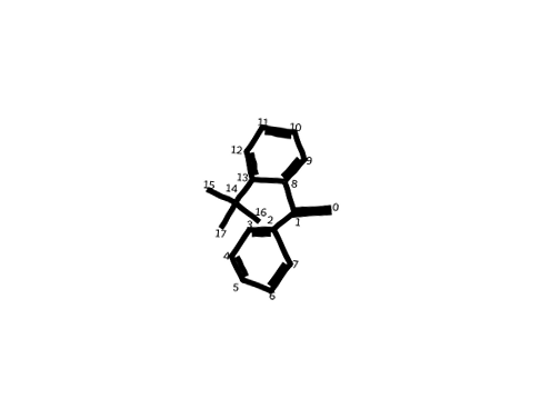 C=C(c1ccccc1)c1ccccc1C(C)(C)C